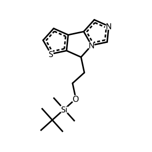 CC(C)(C)[Si](C)(C)OCCC1c2sccc2-c2cncn21